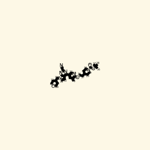 Cc1cc(-c2nc(C#N)nc3c2ccn3CC2CCOCC2)cnc1OCCC1CCN(C(=O)OC(C)(C)C)CC1